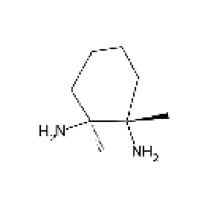 C[C@]1(N)CCCC[C@]1(C)N